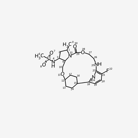 CC1CC(NS(C)(=O)=O)C2COC3CCC(CC3)c3ccc(F)c(n3)NCCOC(=O)N12